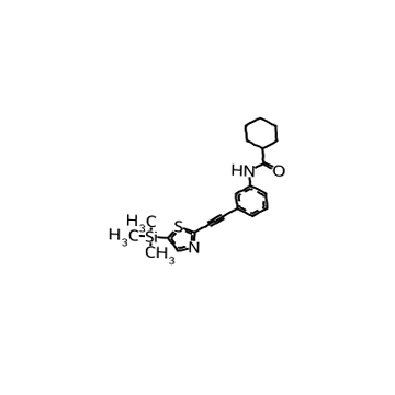 C[Si](C)(C)c1cnc(C#Cc2cccc(NC(=O)C3CCCCC3)c2)s1